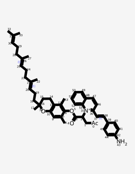 CC(=O)CC(C(=O)Oc1c(C)cc2c(c1C)CCC(C)(CC/C=C(\C)CC/C=C(\C)CCC=C(C)C)O2)[n+]1c(/C=C/c2ccc(N)cc2)ccc2ccccc21